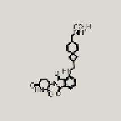 O=C(O)NCC1CCC2(CC1)CC(CNc1cccc3c1C(=O)N(C1CCC(=O)NC1=O)C3=O)C2